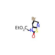 CCOC(=O)Cn1c(=O)sc2ncc(Br)cc21